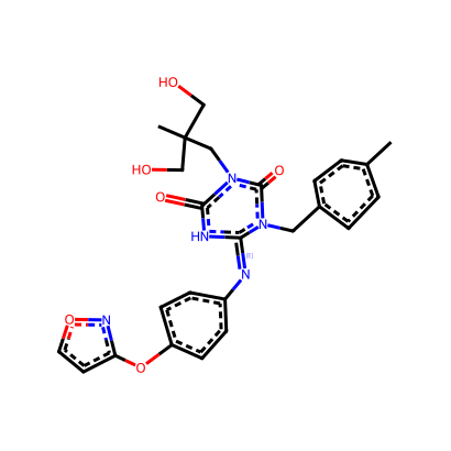 Cc1ccc(Cn2c(=O)n(CC(C)(CO)CO)c(=O)[nH]/c2=N\c2ccc(Oc3ccon3)cc2)cc1